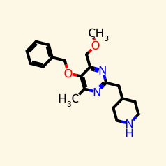 COCc1nc(CC2CCNCC2)nc(C)c1OCc1ccccc1